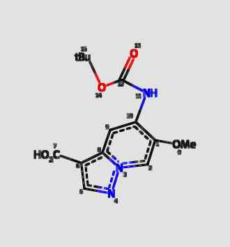 COc1cn2ncc(C(=O)O)c2cc1NC(=O)OC(C)(C)C